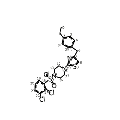 CCc1ccc(Cc2csc(N3CCN(S(=O)(=O)c4cccc(Cl)c4Cl)CC3)n2)cc1